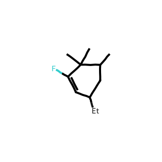 CCC1C=C(F)C(C)(C)C(C)C1